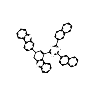 C1=C(c2nc(-c3ccc4ccccc4c3)nc(-c3ccc4ccccc4c3)n2)c2c(oc3ccccc23)CC1c1ccc2c(c1)oc1ccccc12